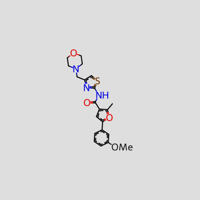 COc1cccc(-c2cc(C(=O)Nc3nc(CN4CCOCC4)cs3)c(C)o2)c1